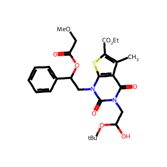 CCOC(=O)c1sc2c(c1C)c(=O)n(CC(O)OC(C)(C)C)c(=O)n2CC(OC(=O)COC)c1ccccc1